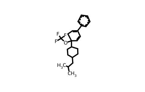 CC(C)CC1CCC(C2(OC(F)(F)F)C=CC(c3ccccc3)=CC2)CC1